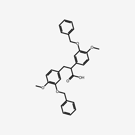 COc1ccc(CC(C(=O)O)c2ccc(OC)c(OCc3ccccc3)c2)cc1OCc1ccccc1